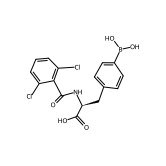 O=C(N[C@@H](Cc1ccc(B(O)O)cc1)C(=O)O)c1c(Cl)cccc1Cl